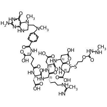 CNNC(=O)OCCSSC[C@H](NC(=O)[C@H](CC(=O)O)NC(=O)[C@H](CC(=O)O)NC(=O)[C@H](CCCNC(C)=N)NC(=O)[C@H](CC(=O)O)NC(=O)CC[C@H](NC(=O)c1ccc(N(C)CC2CNc3nc(N)[nH]c(=O)c3N2C)cc1)C(=O)O)C(=O)O